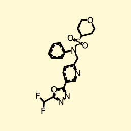 O=S(=O)(C1CCOCC1)N(Cc1ccc(-c2nnc(C(F)F)o2)cn1)c1ccccc1